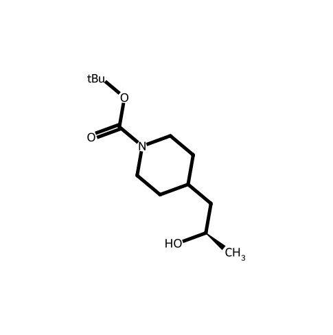 C[C@@H](O)CC1CCN(C(=O)OC(C)(C)C)CC1